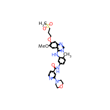 COc1cc2c(Nc3cc(NC(=O)c4ccnc(N5CCOCC5)c4)ccc3C)ncnc2cc1OCCCS(C)(=O)=O